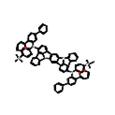 C[Si](C)(C)c1ccc(N(c2cc(-c3ccccc3)ccc2-c2ccccc2)c2ccc3c4cc5c(cc4n4c6ccccc6c2c34)c2ccc(N(c3ccc([Si](C)(C)C)cc3)c3cc(-c4ccccc4)ccc3-c3ccccc3)c3c4ccccc4n5c23)cc1